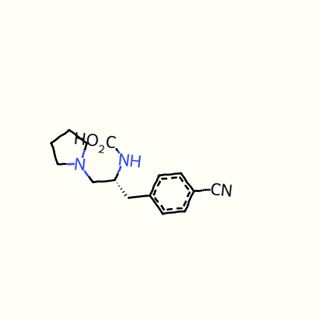 N#Cc1ccc(C[C@H](CN2CCCC2)NC(=O)O)cc1